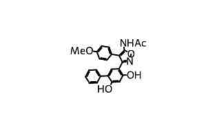 COc1ccc(-c2c(-c3cc(-c4ccccc4)c(O)cc3O)noc2NC(C)=O)cc1